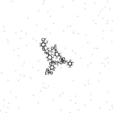 CCS(=O)(=O)c1ccc([C@H](CCOP(=O)(OCc2ccccc2)OCc2ccccc2)NC(=O)c2ccc(N3C[C@@H](Oc4ccc(C(F)(F)F)cc4)C[C@H]3COC(F)F)cc2)cc1